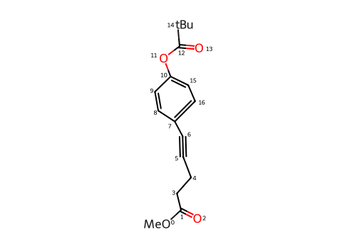 COC(=O)CCC#Cc1ccc(OC(=O)C(C)(C)C)cc1